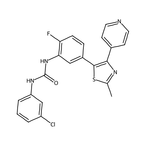 Cc1nc(-c2ccncc2)c(-c2ccc(F)c(NC(=O)Nc3cccc(Cl)c3)c2)s1